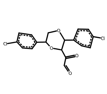 O=CC(=O)C1OC(c2ccc(Cl)cc2)COC1c1ccc(Cl)cc1